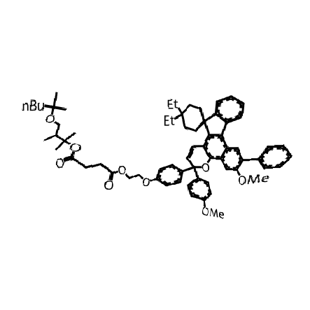 CCCCC(C)(C)OCC(C)C(C)(C)OC(=O)CCC(=O)OCCOc1ccc(C2(c3ccc(OC)cc3)C=Cc3c4c(c5cc(-c6ccccc6)c(OC)cc5c3O2)-c2ccccc2C42CCC(CC)(CC)CC2)cc1